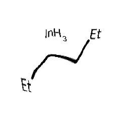 [CH2]CCCCC.[InH3]